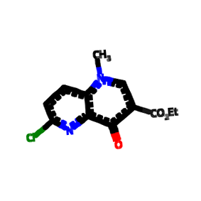 CCOC(=O)c1cn(C)c2ccc(Cl)nc2c1=O